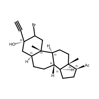 C#C[C@]1(O)C[C@@H]2CC[C@@H]3[C@H](CC[C@]4(C)[C@@H](C(C)=O)CC[C@@H]34)[C@@]2(C)CC1Br